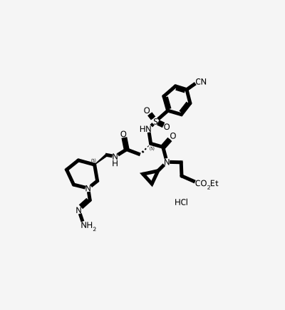 CCOC(=O)CCN(C(=O)[C@H](CC(=O)NC[C@@H]1CCCN(C=NN)C1)NS(=O)(=O)c1ccc(C#N)cc1)C1CC1.Cl